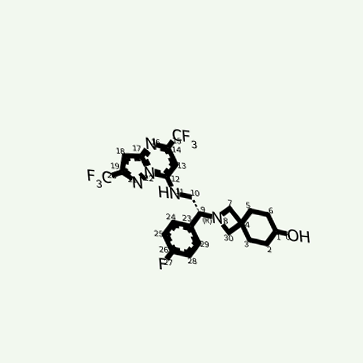 OC1CCC2(CC1)CN([C@@H](CNc1cc(C(F)(F)F)nc3cc(C(F)(F)F)nn13)c1ccc(F)cc1)C2